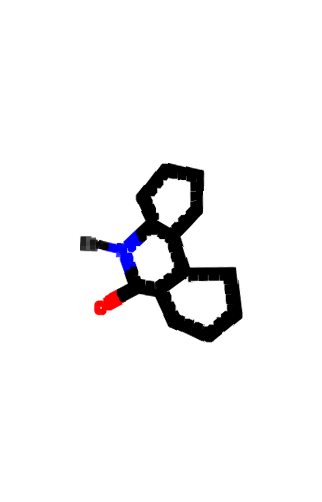 CCn1c(=O)c2ccccc2c2ccccc21